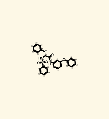 O=C(Nc1cccc(Oc2ccccc2)c1)[C@H](Cc1cc[c]cc1)NS(=O)(=O)c1ccccc1